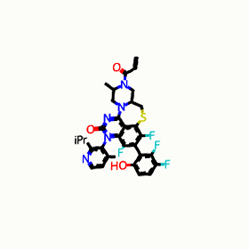 C=CC(=O)N1CC2CSc3c(F)c(-c4c(O)ccc(F)c4F)c(F)c4c3c(nc(=O)n4-c3c(C)ccnc3C(C)C)N2CC1C